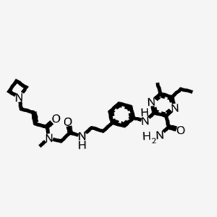 CCc1nc(C(N)=O)c(Nc2cccc(CCNC(=O)CN(C)C(=O)/C=C/CN3CCC3)c2)nc1C